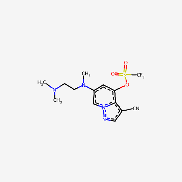 CN(C)CCN(C)c1cc(OS(=O)(=O)C(F)(F)F)c2c(C#N)cnn2c1